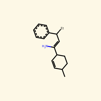 CCC(/C=C(\N)C1C=CC(C)CC1)c1ccccc1